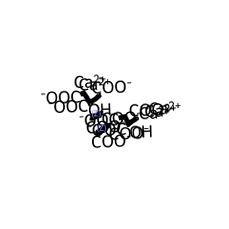 O=C([O-])/C=C\C(=O)[O-].O=C([O-])/C=C\C(=O)[O-].O=C([O-])CC(O)(CC(=O)[O-])C(=O)[O-].O=C([O-])CC(O)(CC(=O)[O-])C(=O)[O-].[Ca+2].[Ca+2].[Ca+2].[Ca+2].[Ca+2]